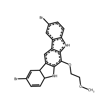 COCCOc1c2c(cc3c1[nH]c1ccc(Br)cc13)C1C=C(Br)C=CC1N2